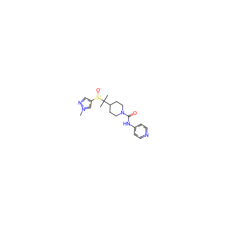 Cn1cc([S+]([O-])C(C)(C)C2CCN(C(=O)Nc3ccncc3)CC2)cn1